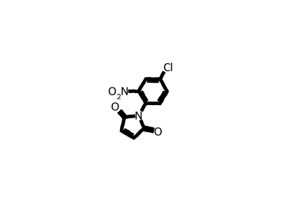 O=C1C=CC(=O)N1c1ccc(Cl)cc1[N+](=O)[O-]